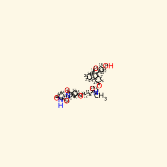 CN(CCOc1ccc(C2c3ccc(O)cc3OC[C@@H]2c2ccccc2)cc1)C(=O)CCCCOc1ccc2c(c1)CN(C1CCC(=O)NC1=O)C2=O